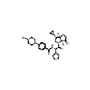 CCCN1CCN(c2ccc(C(=O)N[C@H](C(=O)N3C[C@@H](C4CC4)[C@H]4OCC(=O)[C@H]43)C3CCCC3)cc2)CC1